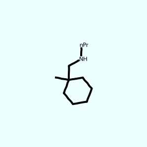 CCCNCC1(C)CCCCC1